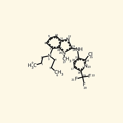 CCCN(CCC)c1cccc2nc(Nc3ccc(C(F)(F)F)nc3Cl)n(C)c12